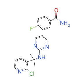 CC(C)(Nc1ncc(-c2cc(C(N)=O)ccc2F)cn1)c1cccnc1Cl